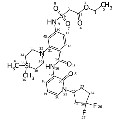 CCOC(=O)CS(=O)(=O)Nc1ccc(C(=O)Nc2cccn(C3CCC(F)(F)C3)c2=O)c(N2CC[Si](C)(C)CC2)c1